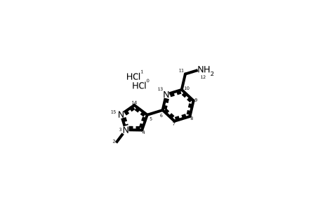 Cl.Cl.Cn1cc(-c2cccc(CN)n2)cn1